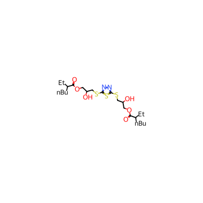 CCCCC(CC)C(=O)OCC(O)CSc1nnc(SCC(O)COC(=O)C(CC)CCCC)s1